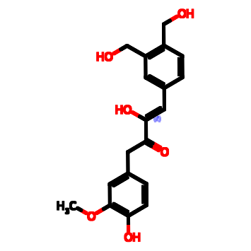 COc1cc(CC(=O)/C(O)=C/c2ccc(CO)c(CO)c2)ccc1O